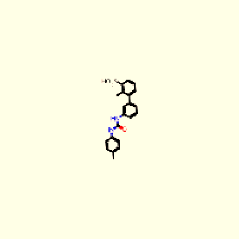 Cc1ccc(NC(=O)Nc2cccc(-c3cccc(S(=O)(=O)O)c3C)c2)cc1